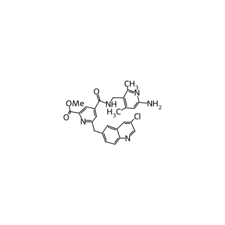 COC(=O)c1cc(C(=O)NCc2c(C)cc(N)nc2C)cc(Cc2ccc3ncc(Cl)cc3c2)n1